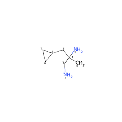 CC(N)(CN)CC1CC1